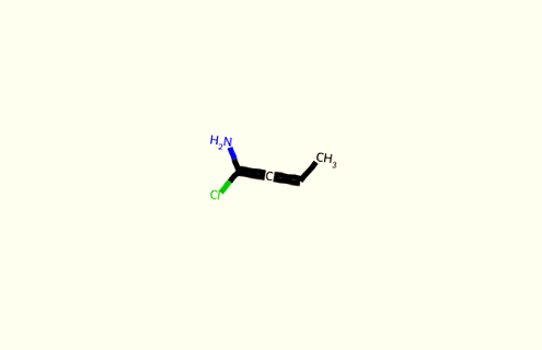 CC=C=C(N)Cl